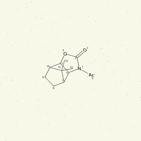 CC(=O)N1C(=O)OC2C1C1CCC2C1(C)C